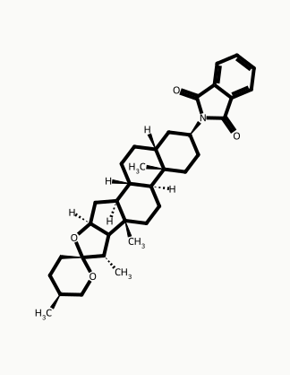 C[C@H]1CC[C@@]2(OC1)O[C@H]1C[C@H]3[C@@H]4CC[C@@H]5C[C@@H](N6C(=O)c7ccccc7C6=O)CC[C@]5(C)[C@H]4CC[C@]3(C)C1[C@@H]2C